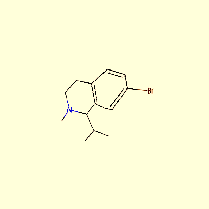 CC(C)C1c2cc(Br)ccc2CCN1C